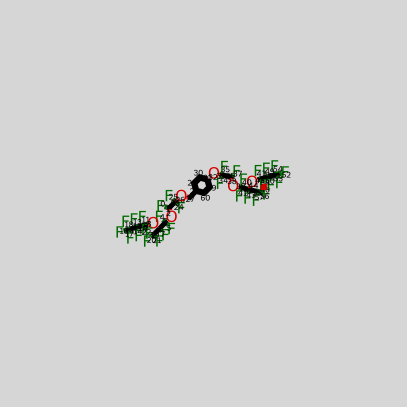 FC(OC(F)(F)C(F)(OC(F)(F)C(F)(F)C(F)(F)F)C(F)(F)F)C(F)(F)OCc1ccc(OC(F)(F)C(F)OC(F)(F)C(F)(OC(F)(F)C(F)(F)C(F)(F)F)C(F)(F)F)cc1